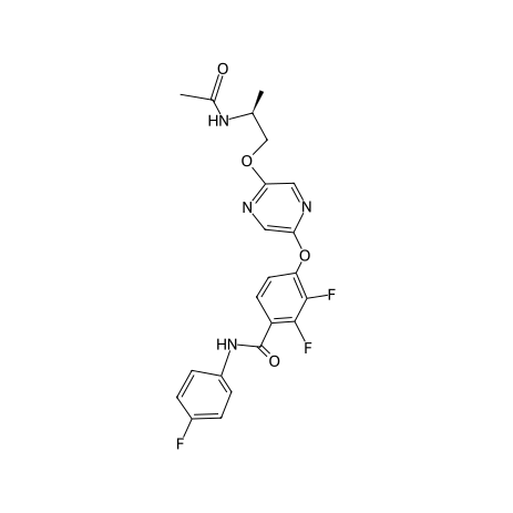 CC(=O)N[C@@H](C)COc1cnc(Oc2ccc(C(=O)Nc3ccc(F)cc3)c(F)c2F)cn1